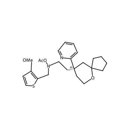 COc1ccsc1CN(CC[C@@]1(c2ccccn2)CCOC2(CCCC2)C1)OC(C)=O